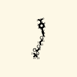 CC(C)c1ccc(C#CCOCCCOCC(=O)OC(C)(C)C)cc1